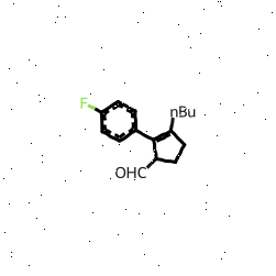 CCCCC1=C(c2ccc(F)cc2)C(C=O)CC1